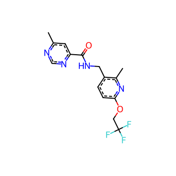 Cc1cc(C(=O)NCc2ccc(OCC(F)(F)F)nc2C)ncn1